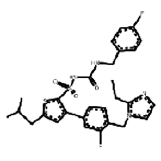 CCc1nccn1Cc1ccc(-c2cc(CC(C)C)sc2S(=O)(=O)NC(=O)NCc2ccc(F)cc2)cc1F